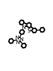 c1ccc(-c2ccc3sc4c(ccc5c6ccccc6n(-c6ccc(-c7nc(-c8ccccc8)nc(-c8ccccc8)n7)cc6)c54)c3c2)cc1